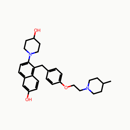 CC1CCN(CCOc2ccc(Cc3c(N4CCC(O)CC4)ccc4cc(O)ccc34)cc2)CC1